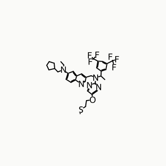 CCN(CC1CCCC1)c1ccc2ncc(CN(c3ncc(OCCSC)cn3)C(C)c3cc(C(F)(F)F)cc(C(F)(F)F)c3)cc2c1